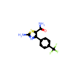 NC(=O)c1sc(N)nc1-c1ccc(C(F)(F)F)cc1